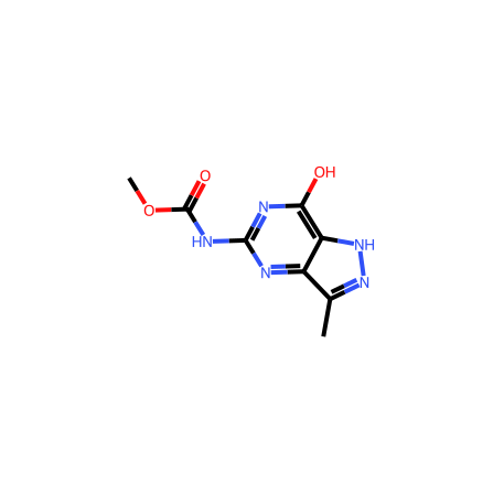 COC(=O)Nc1nc(O)c2[nH]nc(C)c2n1